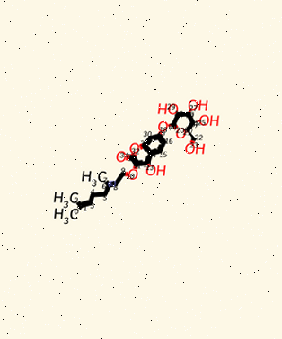 CC(C)=CCC/C(C)=C/COc1c(O)c2ccc(O[C@@H]3O[C@H](CO)[C@@H](O)[C@H](O)[C@@H]3O)cc2oc1=O